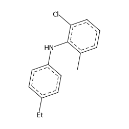 CCc1ccc(Nc2c(C)cccc2Cl)cc1